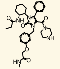 CCC(=O)N[C@H]1CCCCC1n1c(-c2ccccc2)c(C(=O)N2CCNCC2)n(Cc2cccc(OCC(=O)NC)c2)c1=O